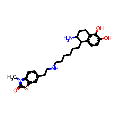 Cn1c(=O)sc2cc(CCNCCCCCCC3c4ccc(O)c(O)c4CCC3N)ccc21